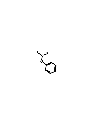 F[Si](F)Oc1ccccc1